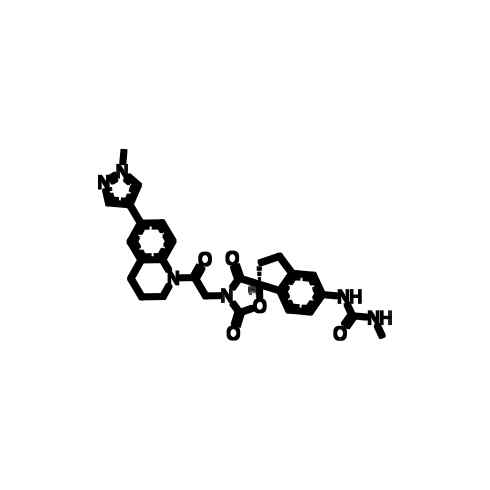 CNC(=O)Nc1ccc2c(c1)CC[C@@]21OC(=O)N(CC(=O)N2CCCc3cc(-c4cnn(C)c4)ccc32)C1=O